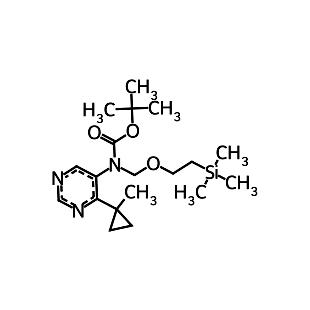 CC(C)(C)OC(=O)N(COCC[Si](C)(C)C)c1cncnc1C1(C)CC1